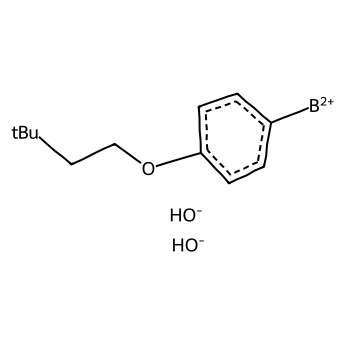 [B+2]c1ccc(OCCC(C)(C)C)cc1.[OH-].[OH-]